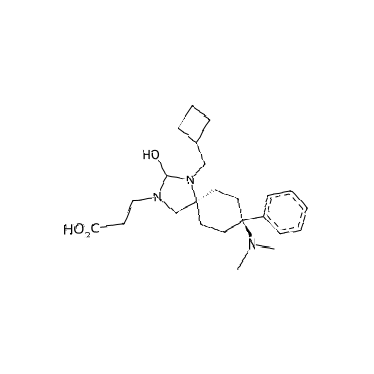 CN(C)[C@]1(c2ccccc2)CC[C@]2(CC1)CN(CCC(=O)O)C(O)N2CC1CCC1